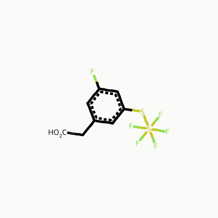 O=C(O)Cc1cc(F)cc(SS(F)(F)(F)(F)F)c1